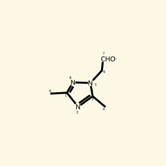 Cc1nc(C)n(C[C]=O)n1